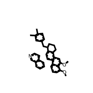 COc1cccc2c1c(OC)cc1c3c(ccc12)C(Cc1ccc(C)c(C)c1)CCC3.c1ccc2cnccc2c1